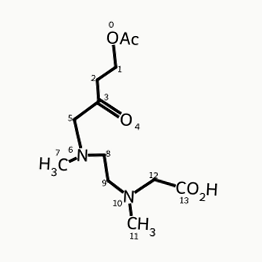 CC(=O)OCCC(=O)CN(C)CCN(C)CC(=O)O